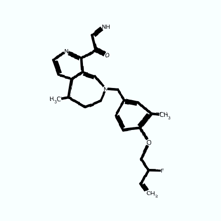 C=CC(F)COc1ccc(CN2C=C3C(C(=O)C=N)=NC=CC3C(C)CC2)cc1C